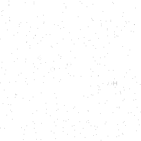 CSOOCCO